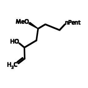 C=CC(O)C[C@H](CCCCCCC)OC